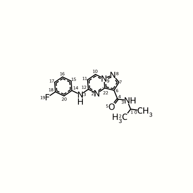 CC(C)NC(=O)c1cnn2ccc(Nc3cccc(F)c3)nc12